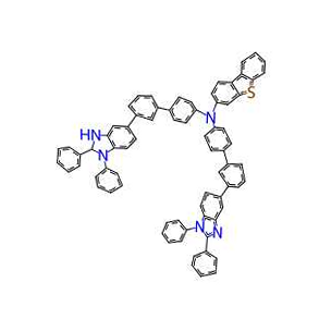 c1ccc(-c2nc3cc(-c4cccc(-c5ccc(N(c6ccc(-c7cccc(-c8ccc9c(c8)NC(c8ccccc8)N9c8ccccc8)c7)cc6)c6ccc7c(c6)sc6ccccc67)cc5)c4)ccc3n2-c2ccccc2)cc1